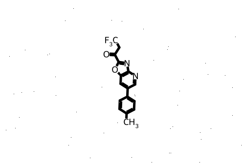 Cc1ccc(-c2cnc3nc(C(=O)CC(F)(F)F)oc3c2)cc1